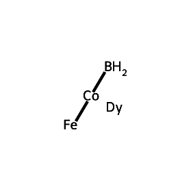 [BH2][Co][Fe].[Dy]